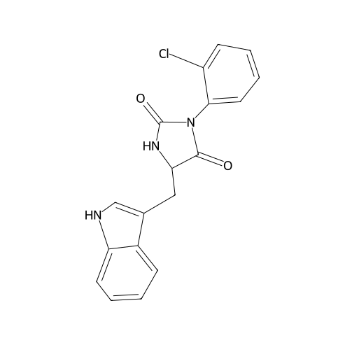 O=C1NC(Cc2c[nH]c3ccccc23)C(=O)N1c1ccccc1Cl